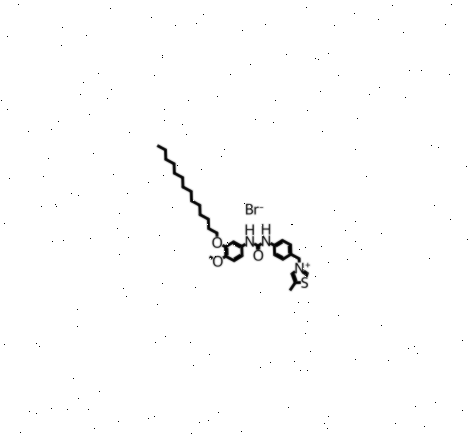 CCCCCCCCCCCCCCOc1cc(NC(=O)Nc2ccc(C[n+]3csc(C)c3)cc2)ccc1OC.[Br-]